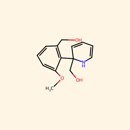 COc1cccc(CO)c1C1(CO)C=CC=CN1